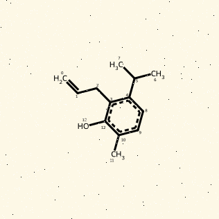 C=CCc1c(C(C)C)ccc(C)c1O